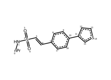 CCCNS(=O)(=O)C=Cc1ccc(-c2ccsc2)cc1